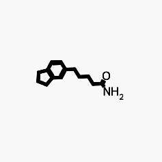 NC(=O)CCCCc1ccc2c(c1)CCC2